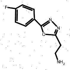 NCCc1nnc(-c2ccc(F)cc2)o1